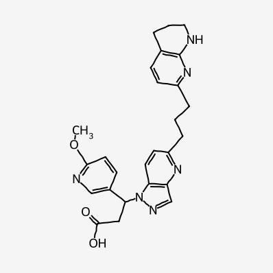 COc1ccc(C(CC(=O)O)n2ncc3nc(CCCc4ccc5c(n4)NCCC5)ccc32)cn1